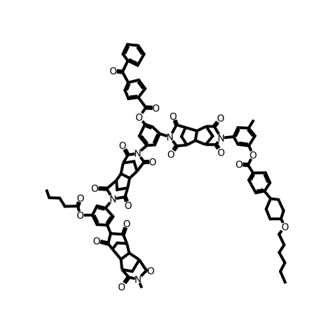 CCCCCCOC1CCC(c2ccc(C(=O)Oc3cc(C)cc(N4C(=O)C5CC(C4=O)C4C6CC(C(=O)N(c7cc(OC(=O)c8ccc(C(=O)c9ccccc9)cc8)cc(N8C(=O)C9CC(C8=O)C8C%10CC(C(=O)N(c%11cc(OC(=O)CCCC)cc(C%12C(=O)C%13CC(C%12=O)C%12C%14CC(C(=O)N(C)C%14=O)C%13%12)c%11)C%10=O)C98)c7)C6=O)C54)c3)cc2)CC1